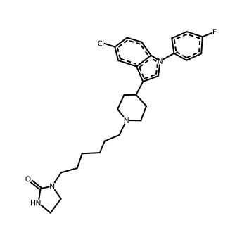 O=C1NCCN1CCCCCCN1CCC(c2cn(-c3ccc(F)cc3)c3ccc(Cl)cc23)CC1